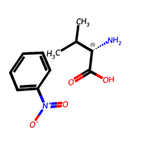 CC(C)[C@H](N)C(=O)O.O=[N+]([O-])c1ccccc1